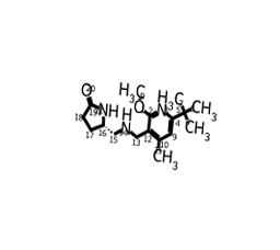 COc1nc(C(C)(C)C)cc(C)c1CNC[C@@H]1CCC(=O)N1